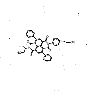 CCC(CO)N1C(=O)c2cc(-c3ccccc3)c3c4c(cc(-c5ccccc5)c(c24)C1=O)C(=O)N(c1ccc(CCO)cc1)C3=O